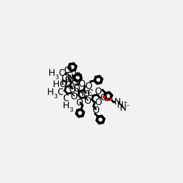 CC(=O)O[C@H]1C(COCc2ccccc2)O[C@@H](O[C@@H]2C(COCc3ccccc3)O[C@@H](OCCCN=[N+]=[N-])C(OCc3ccccc3)[C@H]2C)C(OCc2ccccc2)[C@H]1O[C@@H]1OC(CO[Si](c2ccccc2)(c2ccccc2)C(C)(C)C)[C@@H](O)[C@@H](C)C1C